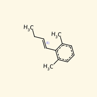 CC/C=C/c1c(C)cccc1C